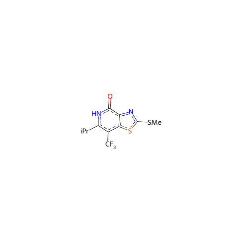 CSc1nc2c(=O)[nH]c(C(C)C)c(C(F)(F)F)c2s1